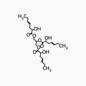 CCC=CCC(O)C(=O)OCC(COC(=O)C(O)CC=CCC)OC(=O)C(O)CC=CCC